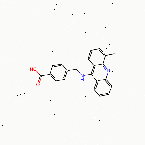 Cc1cccc2c(NCc3ccc(C(=O)O)cc3)c3ccccc3nc12